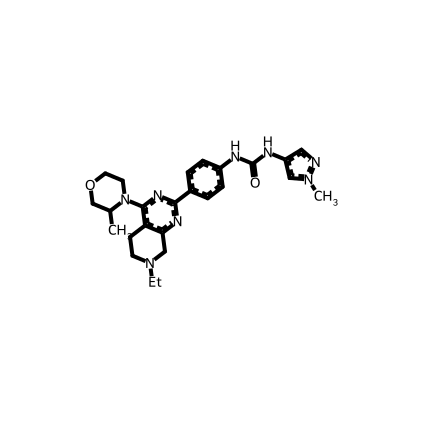 CCN1CCc2c(nc(-c3ccc(NC(=O)Nc4cnn(C)c4)cc3)nc2N2CCOCC2C)C1